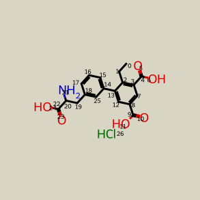 CCc1c(C(=O)O)cc(C(=O)O)cc1-c1cccc(CC(N)C(=O)O)c1.Cl